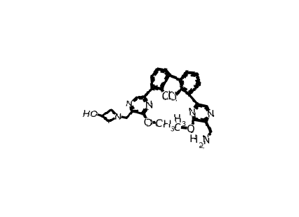 COc1nc(-c2cccc(-c3cccc(-c4cnc(CN5CC(O)C5)c(OC)n4)c3Cl)c2Cl)cnc1CN